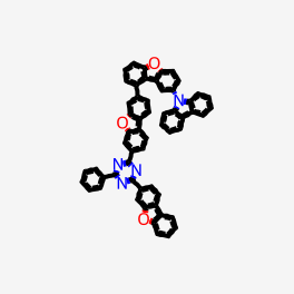 c1ccc(-c2nc(-c3ccc4c(c3)oc3ccccc34)nc(-c3ccc4c(c3)oc3cc(-c5cccc6oc7ccc(-n8c9ccccc9c9ccccc98)cc7c56)ccc34)n2)cc1